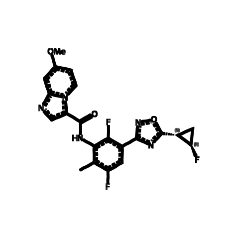 COc1ccn2c(C(=O)Nc3c(C)c(F)cc(-c4noc([C@@H]5C[C@H]5F)n4)c3F)cnc2c1